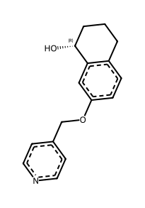 O[C@@H]1CCCc2ccc(OCc3ccncc3)cc21